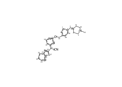 CN1CCN(Cc2ccc(COc3nccc(C(C#N)c4nc5cccnc5s4)n3)cc2)CC1